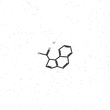 O=C([O-])C1C=Cc2ccc3ccccc3c21.[Li+]